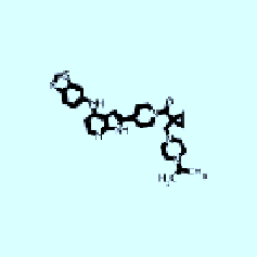 CC(C)N1CCN(CC2(C(=O)N3CC=C(c4cc5c(Nc6ccc7ncsc7c6)ccnc5[nH]4)CC3)CC2)CC1